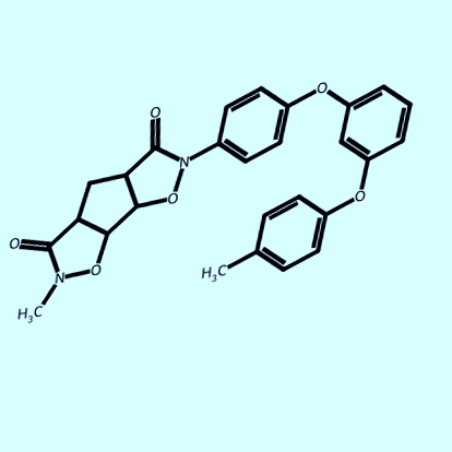 Cc1ccc(Oc2cccc(Oc3ccc(N4OC5C(CC6C(=O)N(C)OC65)C4=O)cc3)c2)cc1